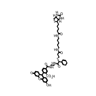 O=C(CCCCC1SC[C@@H]2NC(=O)N[C@H]12)NCCCCCNC(=O)CCSC(C(=O)NCCNC(=O)c1ccc(-c2c3ccc(=O)cc-3oc3cc(O)ccc23)c(C(=O)O)c1)C1=CCCC=C1